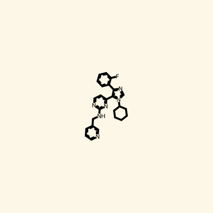 Fc1ccccc1-c1ncn(C2CCCCC2)c1-c1ccnc(NCc2cccnc2)n1